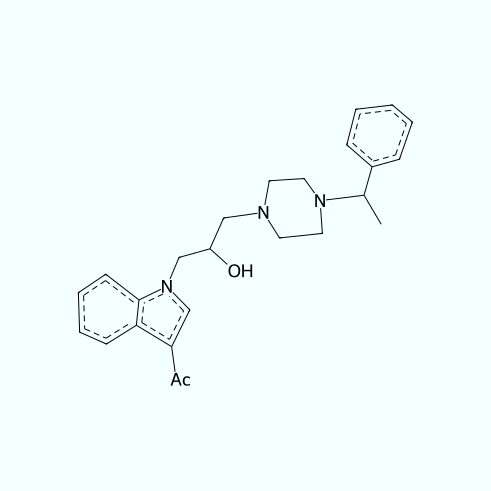 CC(=O)c1cn(CC(O)CN2CCN(C(C)c3ccccc3)CC2)c2ccccc12